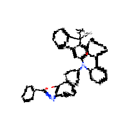 CC1(C)c2ccccc2-c2cc(N(c3ccc4c(ccc5nc(-c6ccccc6)oc54)c3)c3ccccc3-c3ccccc3)ccc21